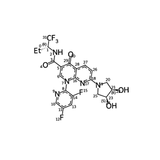 CC[C@@H](NC(=O)c1cn(-c2ncc(F)cc2F)c2nc(N3C[C@@H](O)[C@@H](O)C3)ccc2c1=O)C(F)(F)F